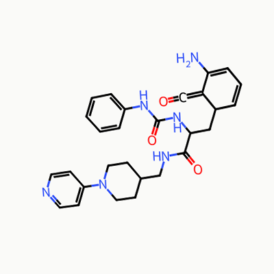 NC1=CC=CC(CC(NC(=O)Nc2ccccc2)C(=O)NCC2CCN(c3ccncc3)CC2)C1=C=O